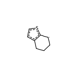 [CH]1CCCc2ccsc21